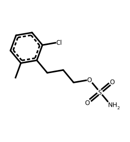 Cc1cccc(Cl)c1CCCOS(N)(=O)=O